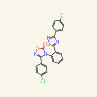 O=c1onc(-c2ccc(Cl)cc2)n1-c1ccccc1-c1nc(-c2ccc(Cl)cc2)no1